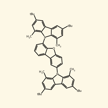 Cc1cc(C(C)(C)C)cc2c3cc(C(C)(C)C)cc(C)c3n(-c3ccc4oc5c(-n6c7c(C)cc(C(C)(C)C)cc7c7cc(C(C)(C)C)cc(C)c76)cccc5c4c3)c12